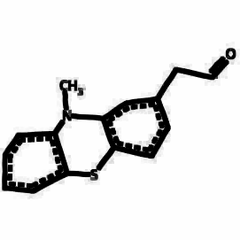 CN1c2ccccc2Sc2ccc(C[C]=O)cc21